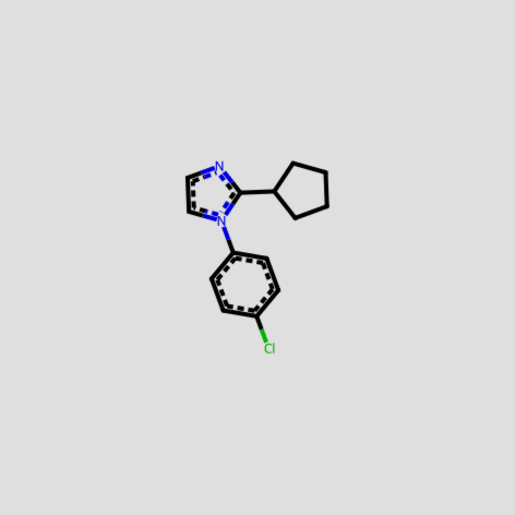 Clc1ccc(-n2ccnc2C2CCCC2)cc1